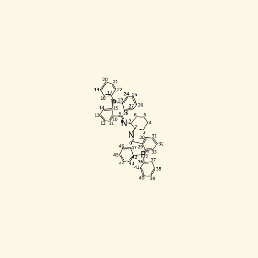 C(=N/C1CCCCC1/N=C/c1ccccc1P(c1ccccc1)c1ccccc1)/c1ccccc1P(c1ccccc1)c1ccccc1